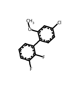 COc1cc(Cl)ccc1-c1cccc(F)c1F